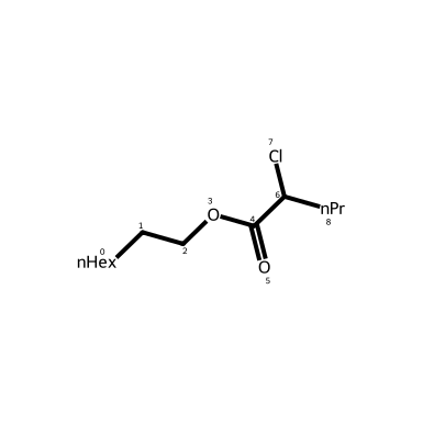 CCCCCCCCOC(=O)C(Cl)CCC